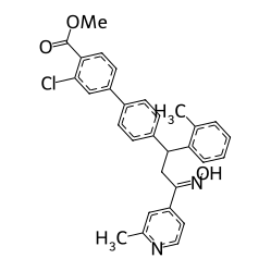 COC(=O)c1ccc(-c2ccc(C(C/C(=N\O)c3ccnc(C)c3)c3ccccc3C)cc2)cc1Cl